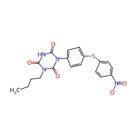 CCCCn1c(=O)[nH]c(=O)n(-c2ccc(Sc3ccc([N+](=O)[O-])cc3)cc2)c1=O